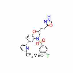 COc1cc(S(=O)(=O)N2CC(CCC3=NNCO3)Oc3ccc(-c4cccc(C(F)(F)F)n4)cc32)ccc1F